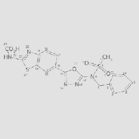 CS(=O)(=O)N(Cc1ccccc1)c1nnc(-c2ccc3nc(NC(=O)O)sc3c2)o1